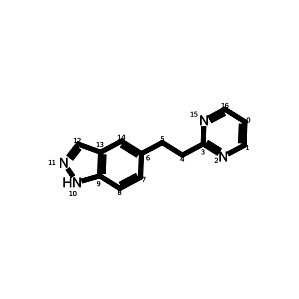 c1cnc(CCc2ccc3[nH]ncc3c2)nc1